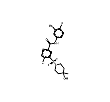 CC1(O)CCN(S(=O)(=O)c2cc(C(=O)Nc3ccc(F)c(Br)c3)ccc2Cl)CC1